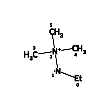 CC[N][N+](C)(C)C